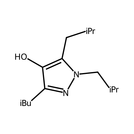 CCC(C)c1nn(CC(C)C)c(CC(C)C)c1O